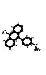 CCCOc1ccc(-c2c3ccccc3c(Br)c3ccccc23)cc1